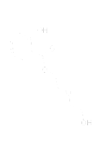 O=C(OCCOCCO)c1ccccc1O